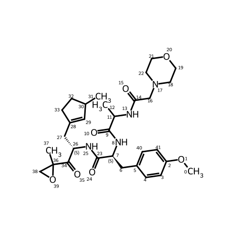 COc1ccc(C[C@H](NC(=O)C(C)NC(=O)CN2CCOCC2)C(=O)N[C@@H](CC2=CC(C)CC2)C(=O)C2(C)CO2)cc1